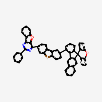 c1ccc(-c2nc(-c3ccc4c(c3)sc3ccc(-c5cccc6c5-c5cc7ccccc7cc5C65c6ccccc6Oc6ccccc65)cc34)c3oc4ccccc4c3n2)cc1